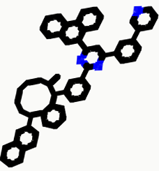 C=C1/C=C\C=C/C/C(c2ccc3ccccc3c2)=c2/cccc/c2=C/1c1cccc(-c2nc(-c3cccc(-c4cccnc4)c3)cc(-c3cc4ccccc4c4ccccc34)n2)c1